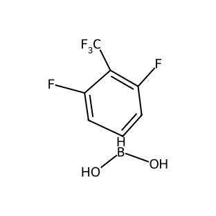 Fc1cccc(F)c1C(F)(F)F.OBO